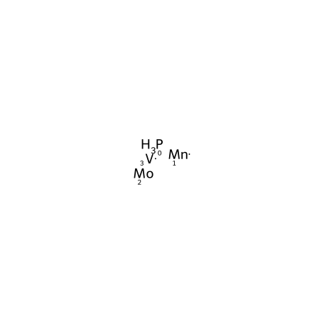 P.[Mn].[Mo].[V]